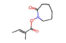 CC=C(C)C(=O)ON1CCCCCC1=O